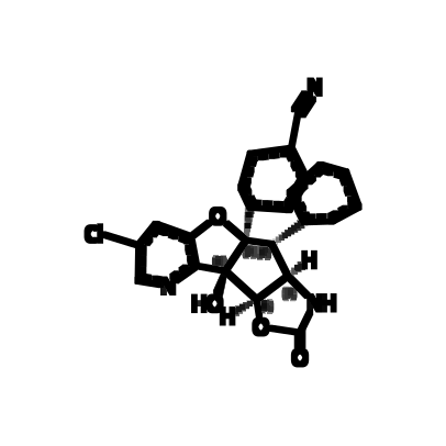 N#Cc1ccc([C@@]23Oc4cc(Cl)cnc4[C@@]2(O)[C@@H]2OC(=O)N[C@@H]2[C@H]3c2ccccc2)cc1